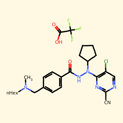 CCCCCCN(C)Cc1ccc(C(=O)NN(c2nc(C#N)ncc2Cl)C2CCCC2)cc1.O=C(O)C(F)(F)F